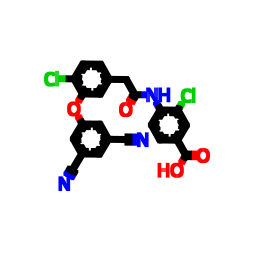 N#Cc1cc(C#N)cc(Oc2cc(CC(=O)Nc3ccc(C(=O)O)cc3Cl)ccc2Cl)c1